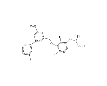 CCC(Oc1ccc(F)c(NCc2cc(OC)cc(-c3cccc(F)c3)c2)c1F)C(=O)O